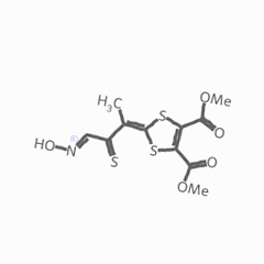 COC(=O)C1=C(C(=O)OC)SC(=C(C)C(=S)/C=N/O)S1